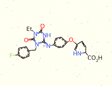 CCn1c(=O)[nH]/c(=N\c2ccc(OC3=CNC(C(=O)O)C=C3)cc2)n(Cc2ccc(F)cc2)c1=O